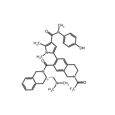 Cc1c(C(=O)N(C)c2ccc(O)cc2)cc(-c2cc3c(cc2C(=O)N2Cc4ccccc4C[C@H]2CN(C)C)CN(C(=O)C(F)(F)F)CC3)n1C